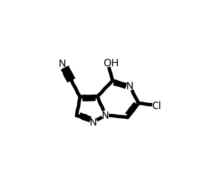 N#Cc1cnn2cc(Cl)nc(O)c12